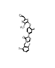 Cc1nc(C=O)sc1Oc1ccc(-n2ncn(Cc3c(F)cccc3F)c2=O)cc1F